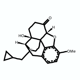 COc1ccc2c3c1O[C@H]1C(=O)CC[C@@]4(O)[C@@H](C2)N(CC2CC2)CCC314